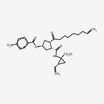 C=CCCCCCCC(=O)N1C[C@H](OC(=O)c2ccc([N+](=O)[O-])cc2)C[C@H]1C(=O)N[C@]1(C(=O)OCC)C[C@H]1C=C